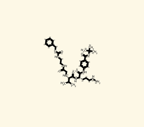 CC(C)[C@H](NCC(=O)NCCNC(=O)OCc1ccccc1)C(=O)N[C@@H](CCCNN)C(=O)Nc1ccc(C(=O)OC(C)(C)C)cc1